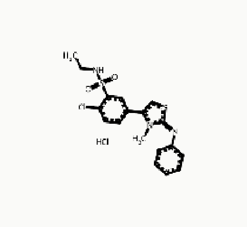 CCNS(=O)(=O)c1cc(-c2csc(=Nc3ccccc3)n2C)ccc1Cl.Cl